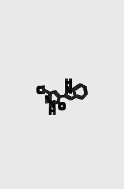 O=c1[nH]nc(Cl)cc1-c1cc2ccccc2[nH]1